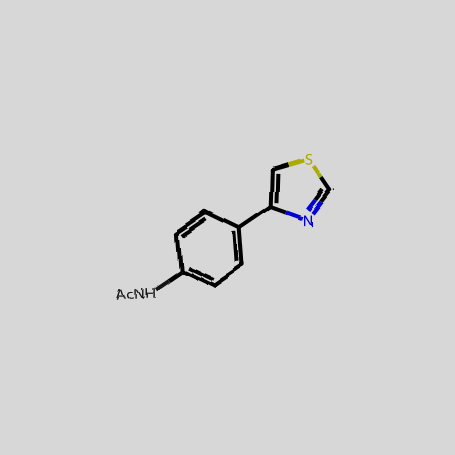 CC(=O)Nc1ccc(-c2cs[c]n2)cc1